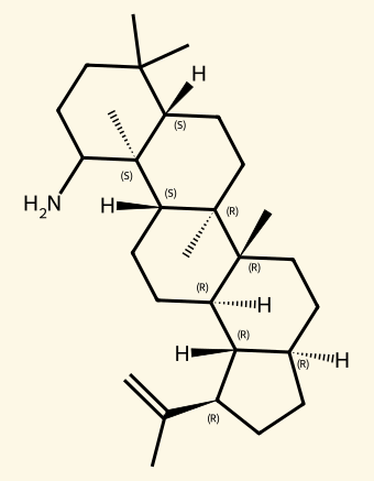 C=C(C)[C@@H]1CC[C@@H]2CC[C@]3(C)[C@H](CC[C@@H]4[C@@]5(C)C(N)CCC(C)(C)[C@@H]5CC[C@]43C)[C@H]21